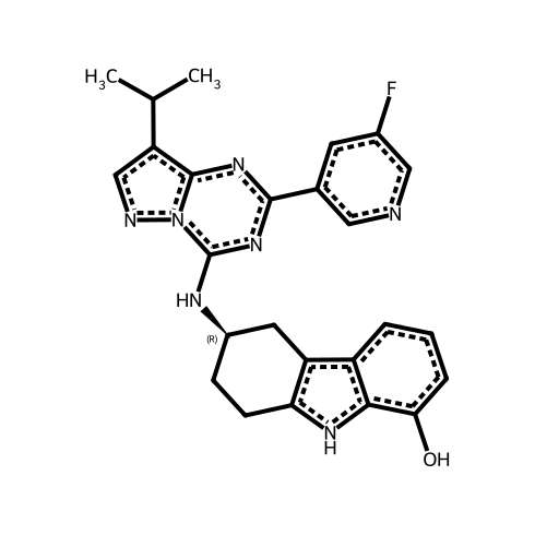 CC(C)c1cnn2c(N[C@@H]3CCc4[nH]c5c(O)cccc5c4C3)nc(-c3cncc(F)c3)nc12